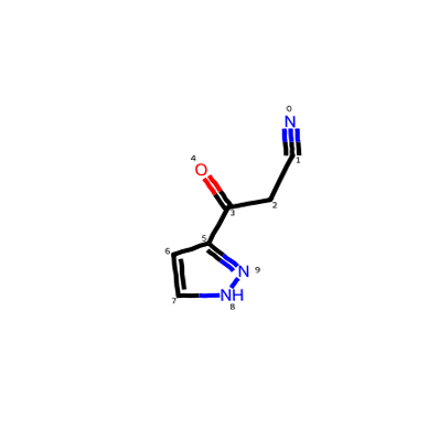 N#CCC(=O)c1cc[nH]n1